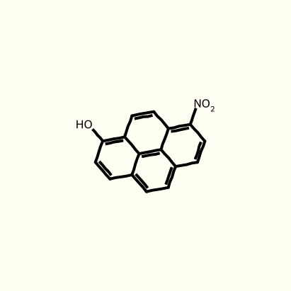 O=[N+]([O-])c1ccc2ccc3ccc(O)c4ccc1c2c34